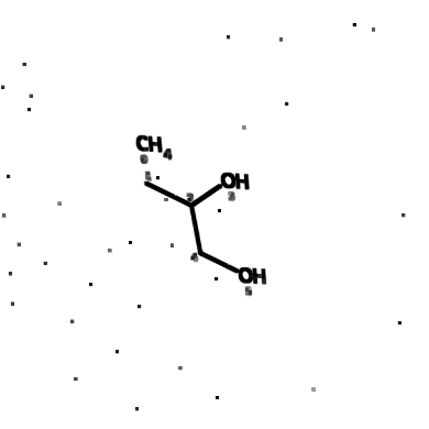 C.CC(O)CO